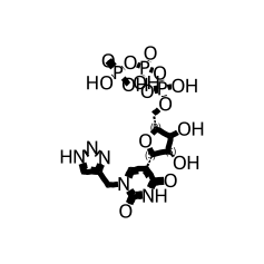 O=c1[nH]c(=O)n(Cc2c[nH]nn2)cc1[C@@H]1O[C@H](COP(=O)(O)OP(=O)(O)OP(=O)(O)O)C(O)[C@@H]1O